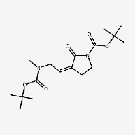 CN(C/C=C1/CCN(C(=O)OC(C)(C)C)C1=O)C(=O)OC(C)(C)C